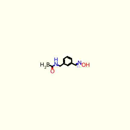 BC(=O)NCc1cccc(/C=N/O)c1